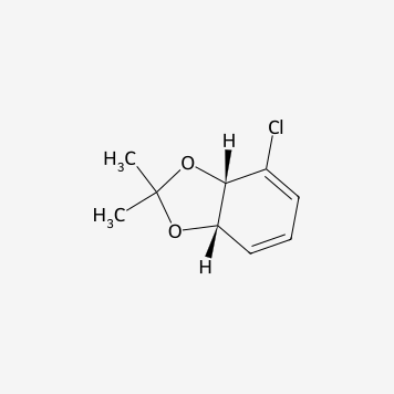 CC1(C)O[C@H]2C=CC=C(Cl)[C@H]2O1